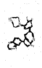 Fc1cc(-c2cnc3[nH]cc(-c4ccc5nccnc5c4)c3c2)cc(N2CCNCC2)c1F